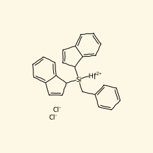 [Cl-].[Cl-].[Hf+2][Si](Cc1ccccc1)(C1C=Cc2ccccc21)C1C=Cc2ccccc21